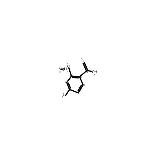 O=C(O)c1ccc(Cl)cc1Cl.[MgH2]